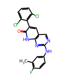 Cc1cc(Nc2ncc3cc(-c4c(Cl)cccc4Cl)c(=O)[nH]c3n2)ccc1F